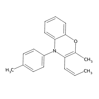 C/C=C\C1=C(C)Oc2ccccc2N1c1ccc(C)cc1